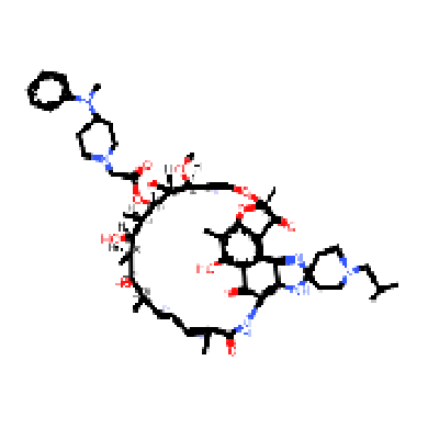 CO[C@H]1/C=C/O[C@@]2(C)Oc3c(C)c(O)c4c(c3C2=O)C2=NC3(CCN(CC(C)C)CC3)NC2=C(NC(=O)/C(C)=C\C=C\[C@H](C)[C@H](O)[C@@H](C)[C@@H](O)[C@@H](C)[C@H](OC(=O)CN2CCC(N(C)c3ccccc3)CC2)[C@@H]1C)C4=O